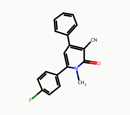 Cn1c(-c2ccc(F)cc2)cc(-c2ccccc2)c(C#N)c1=O